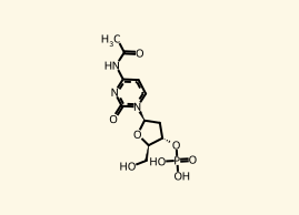 CC(=O)Nc1ccn([C@H]2C[C@H](OP(=O)(O)O)[C@@H](CO)O2)c(=O)n1